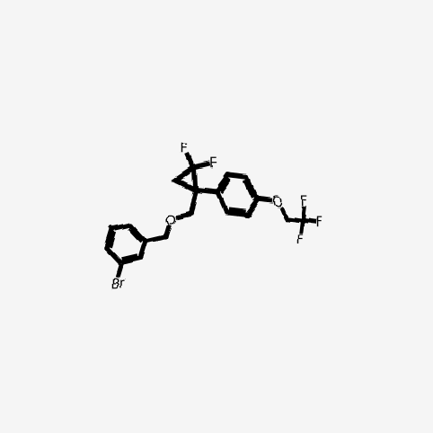 FC(F)(F)COc1ccc(C2(COCc3cccc(Br)c3)CC2(F)F)cc1